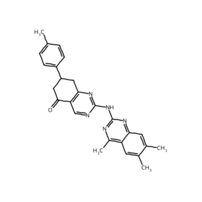 Cc1ccc(C2CC(=O)c3cnc(Nc4nc(C)c5cc(C)c(C)cc5n4)nc3C2)cc1